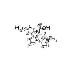 Cc1ccc(N(CCC2CCCN2C)C(=O)O)c(-c2cccc(F)c2)c1